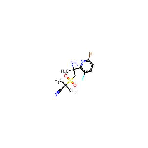 CC(C)(C#N)S(=O)(=O)C[C@](C)(N)c1nc(Br)ccc1F